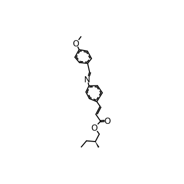 CC[C@H](C)COC(=O)/C=C/c1ccc(/N=C/c2ccc(OC)cc2)cc1